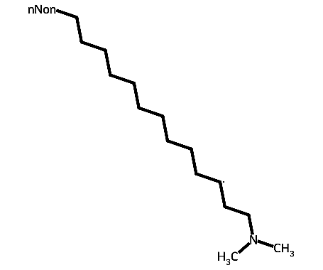 CCCCCCCCCCCCCCCCCCC[CH]CCN(C)C